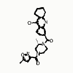 Cc1cc(C(=O)N2CCN(C(=O)c3ccc4c(Cl)c5c(nc4c3)CCCC5)[C@@H](C)C2)no1